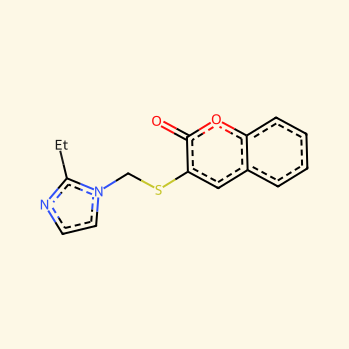 CCc1nccn1CSc1cc2ccccc2oc1=O